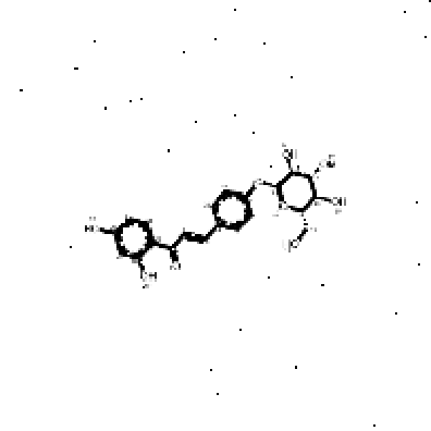 O=C(/C=C/c1ccc(O[C@@H]2O[C@@H](CO)[C@H](O)[C@H](O)[C@@H]2O)cc1)c1ccc(O)cc1O